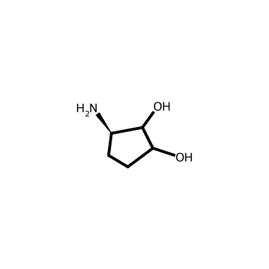 N[C@@H]1CCC(O)C1O